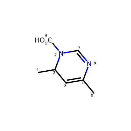 CC1=CC(C)N(C(=O)O)C=N1